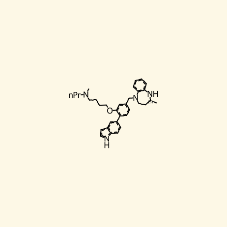 CCCN(C)CCCCOc1cc(CN2CC[C@H](C)Nc3ccccc32)ccc1-c1ccc2[nH]ccc2c1